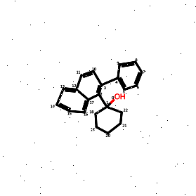 OC1(c2c(-c3ccccc3)ccc3ccccc23)CCCCC1